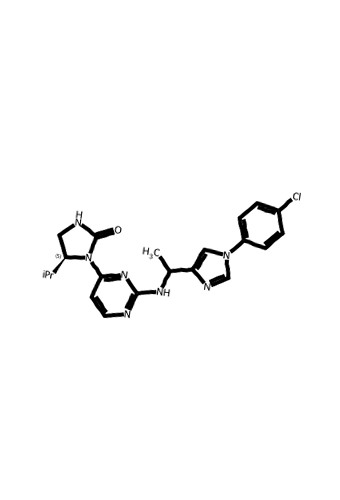 CC(Nc1nccc(N2C(=O)NC[C@@H]2C(C)C)n1)c1cn(-c2ccc(Cl)cc2)cn1